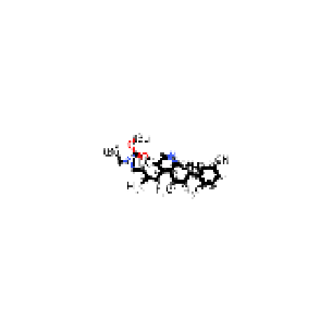 C=C(CCN(CC(C)(C)C)C(=O)OC(C)(C)C)Cc1c(C)cnc(C)c1/C(=C\C(C)c1cc(C#N)ccc1C)C(F)(F)F